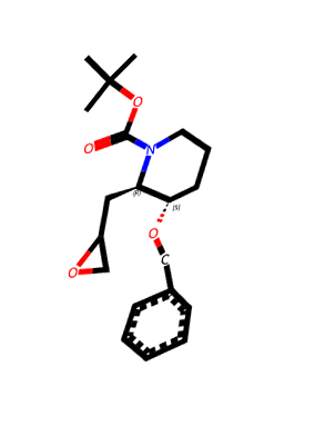 CC(C)(C)OC(=O)N1CCC[C@H](OCc2ccccc2)[C@H]1CC1CO1